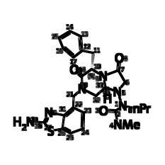 CCCN(C(=O)NC)N1CC(=O)N2[C@@H](Cc3ccccc3)C(=O)N(Cc3cccc4sc(N)nc34)C[C@@H]21